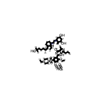 C=C1/C(=C\C=C2/CCC[C@]3(C)[C@@H]([C@H](C)CCCC(C)(C)O)CC[C@@H]23)C[C@@H](O)C[C@@H]1O.CCCc1nc(C)c2c(=O)nc(-c3cc(S(=O)(=O)N4CCN(CC)CC4)ccc3OCC)[nH]n12.Cl.O.O.O